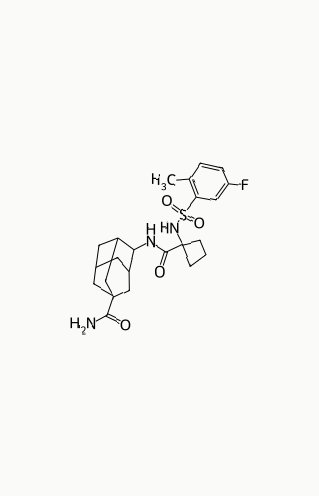 Cc1ccc(F)cc1S(=O)(=O)NC1(C(=O)NC2C3CC4CC2CC(C(N)=O)(C4)C3)CCC1